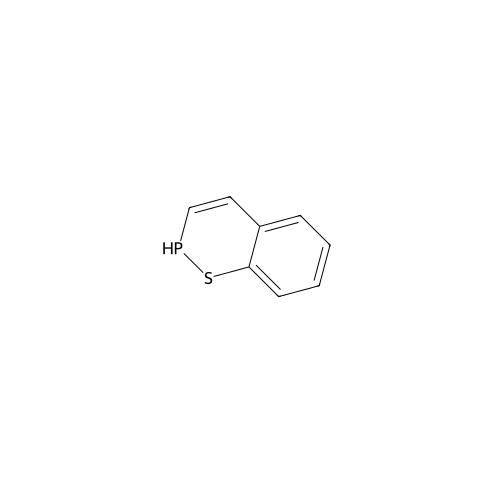 C1=Cc2ccccc2SP1